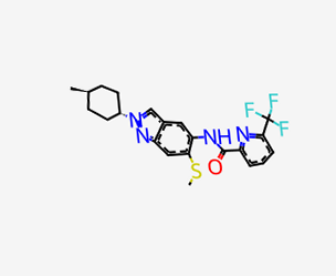 CSc1cc2nn([C@H]3CC[C@H](C)CC3)cc2cc1NC(=O)c1cccc(C(F)(F)F)n1